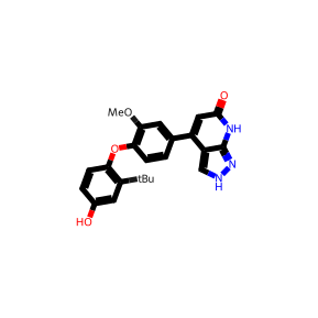 COc1cc(-c2cc(=O)[nH]c3n[nH]cc23)ccc1Oc1ccc(O)cc1C(C)(C)C